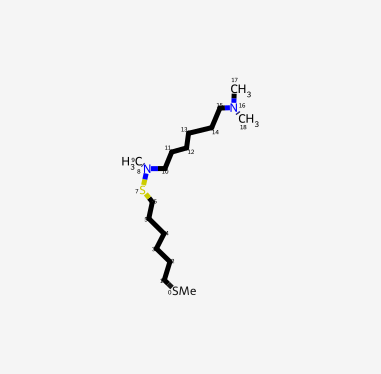 CSCCCCCCSN(C)CCCCCCN(C)C